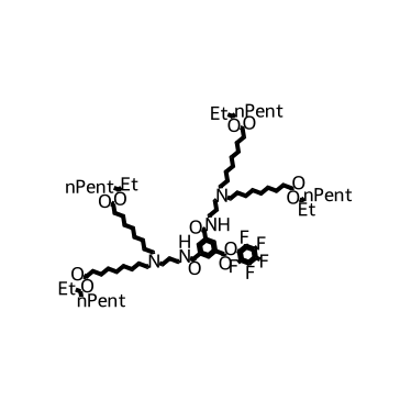 CCCCCC(CC)OC(=O)CCCCCCCCN(CCCCCCCCC(=O)OC(CC)CCCCC)CCCNC(=O)c1cc(C(=O)NCCCN(CCCCCCCCC(=O)OC(CC)CCCCC)CCCCCCCCC(=O)OC(CC)CCCCC)cc(C(=O)Oc2c(F)c(F)c(F)c(F)c2F)c1